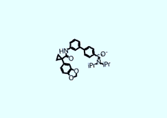 CC(C)N(C(C)C)[S+]([O-])c1ccc(-c2cccc(NC(=O)C3(c4ccc5c(c4)OCO5)CC3)c2)cc1